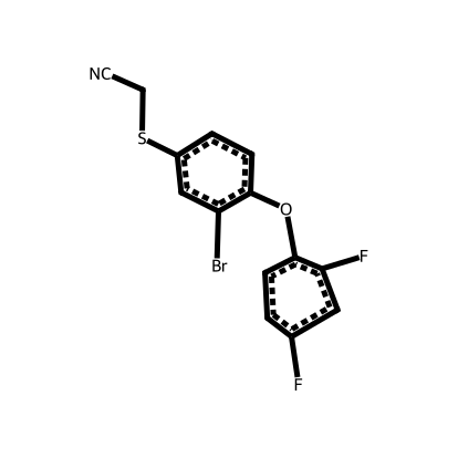 N#CCSc1ccc(Oc2ccc(F)cc2F)c(Br)c1